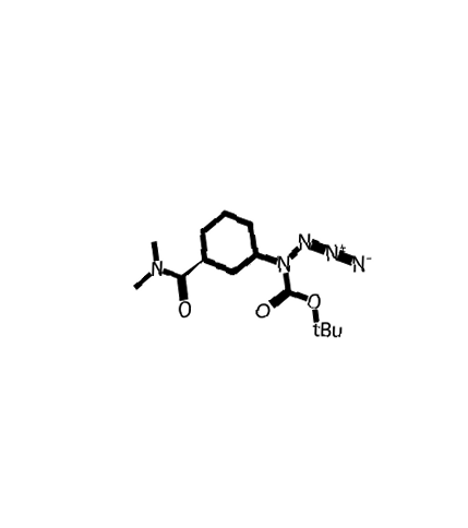 CN(C)C(=O)[C@H]1CCCC(N(N=[N+]=[N-])C(=O)OC(C)(C)C)C1